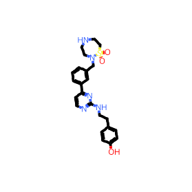 O=S1(=O)CCNCCN1Cc1cccc(-c2ccnc(NCCc3ccc(O)cc3)n2)c1